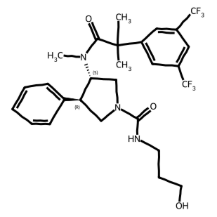 CN(C(=O)C(C)(C)c1cc(C(F)(F)F)cc(C(F)(F)F)c1)[C@@H]1CN(C(=O)NCCCO)C[C@H]1c1ccccc1